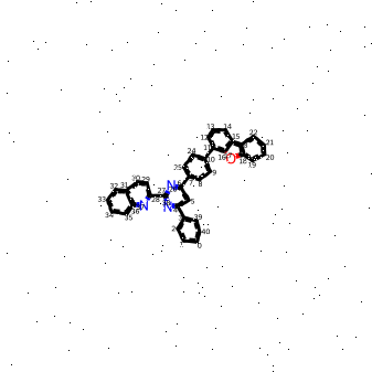 c1ccc(-c2cc(-c3ccc(-c4cccc5c4oc4ccccc45)cc3)nc(-c3ccc4ccccc4n3)n2)cc1